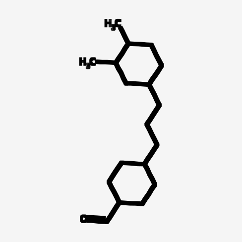 CC1CCC(CCCC2CCC(C=O)CC2)CC1C